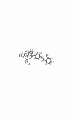 CC1(C)OB(c2ccc(OCc3ccccc3Cl)cc2)OC1(C)C